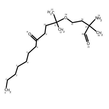 CCCCCCCC(=O)CCC(C)(C)OCCC(C)(N)C=O